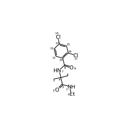 CCNC(=O)C(C)(C)NC(=O)c1ccc(Cl)cc1Cl